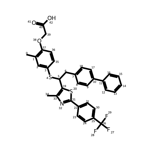 Cc1cc(SC(Cc2ccc(-c3ccccc3)cc2)c2sc(-c3ccc(C(F)(F)F)cc3)nc2C)ccc1OCC(=O)O